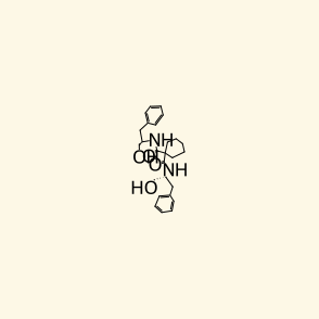 O=C(N[C@@H](CO)Cc1ccccc1)C1(C(=O)N[C@@H](CO)Cc2ccccc2)CCCCC1